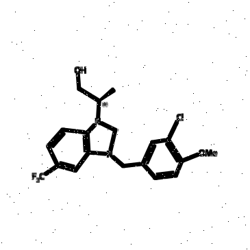 COc1ccc(CN2[CH]N([C@H](C)CO)c3ccc(C(F)(F)F)cc32)cc1Cl